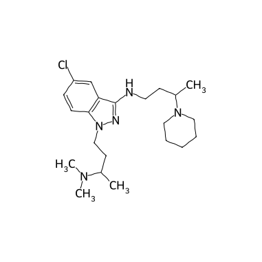 CC(CCn1nc(NCCC(C)N2CCCCC2)c2cc(Cl)ccc21)N(C)C